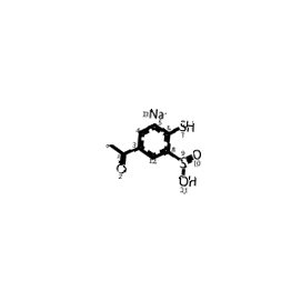 CC(=O)c1ccc(S)c(S(=O)O)c1.[Na]